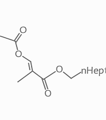 C=CC(=O)OC=C(C)C(=O)OCCCCCCCC